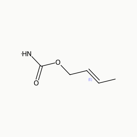 C/C=C/COC([NH])=O